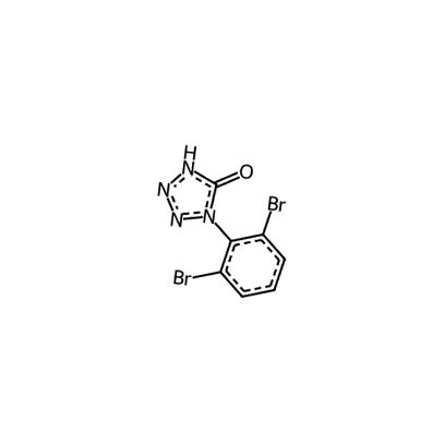 O=c1[nH]nnn1-c1c(Br)cccc1Br